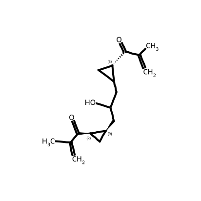 C=C(C)C(=O)[C@H]1CC1CC(O)C[C@H]1C[C@H]1C(=O)C(=C)C